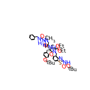 CCOC(OCC)[C@H](C)N(Cc1cccc2sc(NC(=O)OC(C)(C)C)nc12)C(=O)[C@H](Cc1ccc(OC(C)(C)C)cc1)NC(=O)CN(C)NC(=O)NCc1ccccc1